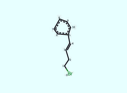 BrCCC=Cc1ccccc1